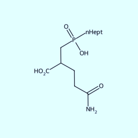 CCCCCCCP(=O)(O)CC(CCC(N)=O)C(=O)O